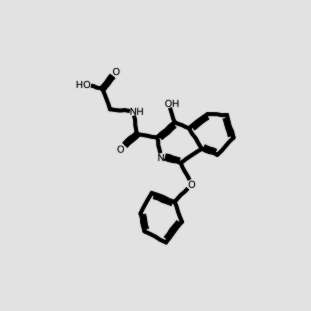 O=C(O)CNC(=O)c1nc(Oc2ccccc2)c2ccccc2c1O